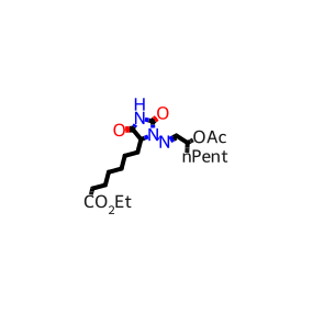 CCCCCC(/C=N/N1C(=O)NC(=O)C1CCCCCCC(=O)OCC)OC(C)=O